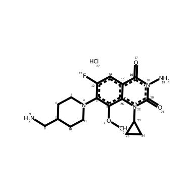 COc1c(N2CCC(CN)CC2)c(F)cc2c(=O)n(N)c(=O)n(C3CC3)c12.Cl